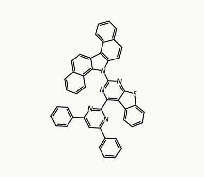 c1ccc(-c2cc(-c3ccccc3)nc(-c3nc(-n4c5ccc6ccccc6c5c5ccc6ccccc6c54)nc4sc5ccccc5c34)n2)cc1